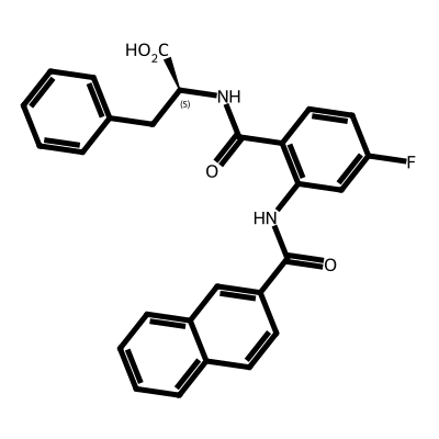 O=C(Nc1cc(F)ccc1C(=O)N[C@@H](Cc1ccccc1)C(=O)O)c1ccc2ccccc2c1